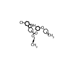 CC#CCOC(=O)N1CCc2c([nH]c3ccc(Cl)cc23)[C@@H]1c1ccc(OC2CCN(C)CC2)cc1